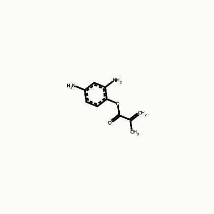 C=C(C)C(=O)Oc1ccc(N)cc1N